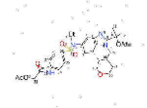 CCN(c1ccc2c(c1)nc(C(C)(C)OC)n2CC1CCOCC1)S(=O)(=O)c1ccc(NC(=O)COC(C)=O)cc1